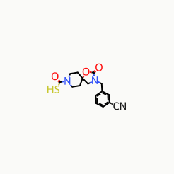 N#Cc1cccc(CN2CC3(CCN(C(=O)S)CC3)OC2=O)c1